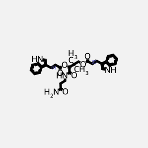 CC(C)(COC(=O)/C=C/c1c[nH]c2ccccc12)[C@@H](OC(=O)/C=C/c1c[nH]c2ccccc12)C(=O)NCCC(N)=O